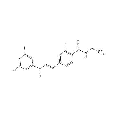 Cc1cc(C)cc(C(C)/C=C/c2ccc(C(=O)NCC(F)(F)F)c(C)c2)c1